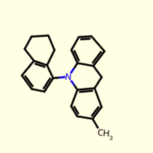 Cc1ccc2c(c1)Cc1ccccc1N2c1cccc2c1CCCC2